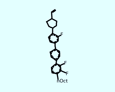 C=CC1CCC(c2ccc(-c3ccc(-c4ccc(CCCCCCCC)c(F)c4F)cc3)cc2F)CC1